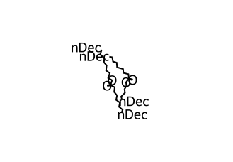 CCCCCCCCCCCCCCCCCC(=O)OCCCCCCCCCCCCCC.CCCCCCCCCCCCCCCCCCOC(=O)CCCCCCCCCCCCCCCCC